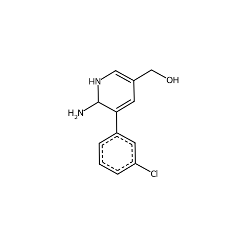 NC1NC=C(CO)C=C1c1cccc(Cl)c1